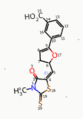 CN1C(=O)/C(=C\C2CC=C(c3cccc(C(=O)O)c3)O2)SC1=S